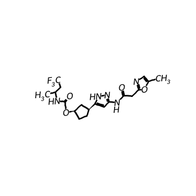 Cc1cnc(CC(=O)Nc2cc([C@H]3CC[C@@H](OC(=O)NC(C)CC(F)(F)F)C3)[nH]n2)o1